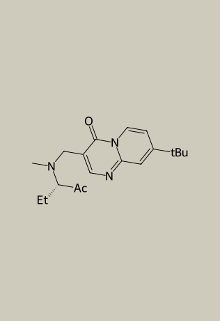 CC[C@@H](C(C)=O)N(C)Cc1cnc2cc(C(C)(C)C)ccn2c1=O